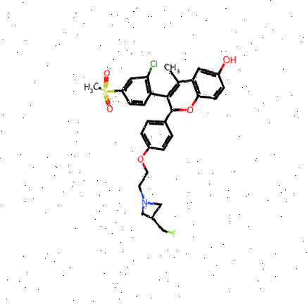 CC1=C(c2ccc(S(C)(=O)=O)cc2Cl)C(c2ccc(OCCN3CC(CF)C3)cc2)Oc2ccc(O)cc21